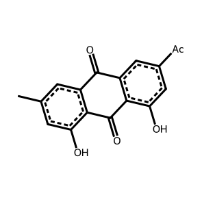 CC(=O)c1cc(O)c2c(c1)C(=O)c1cc(C)cc(O)c1C2=O